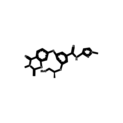 C=C1Oc2cc(Oc3cc(O[C@@H](C)COC)cc(C(=O)Nc4ccn(C)n4)c3)ccc2C(=O)N1C